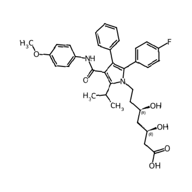 COc1ccc(NC(=O)c2c(-c3ccccc3)c(-c3ccc(F)cc3)n(CC[C@@H](O)C[C@@H](O)CC(=O)O)c2C(C)C)cc1